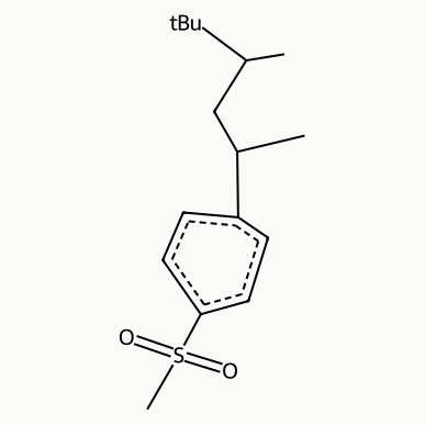 CC(CC(C)C(C)(C)C)c1ccc(S(C)(=O)=O)cc1